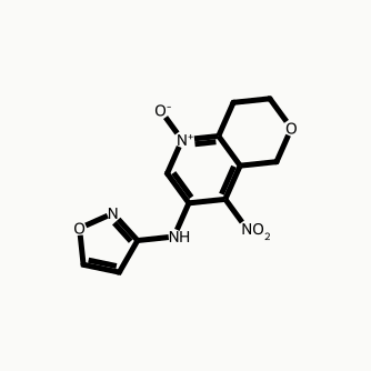 O=[N+]([O-])c1c(Nc2ccon2)c[n+]([O-])c2c1COCC2